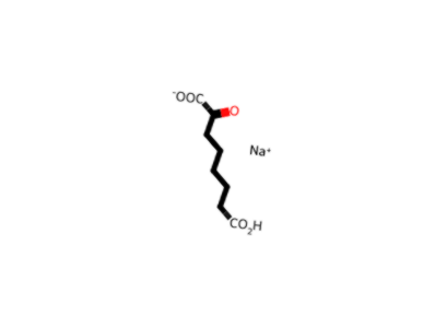 O=C(O)CCCCCC(=O)C(=O)[O-].[Na+]